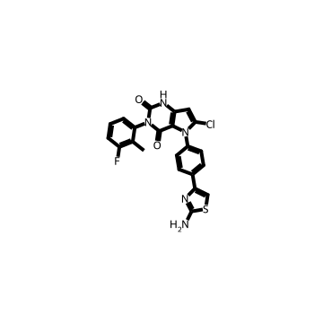 Cc1c(F)cccc1-n1c(=O)[nH]c2cc(Cl)n(-c3ccc(-c4csc(N)n4)cc3)c2c1=O